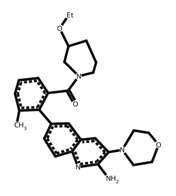 CCOC1CCCN(C(=O)c2cccc(C)c2-c2ccc3nc(N)c(N4CCOCC4)cc3c2)C1